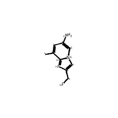 Cc1cc(N)cn2cc(CF)nc12